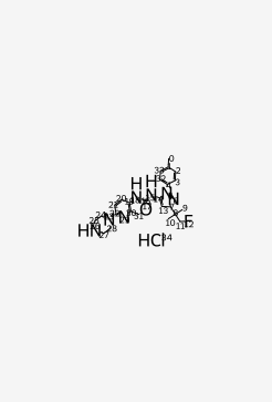 Cc1ccc(-n2nc(C(C)(C)CF)cc2NC(=O)Nc2ccc(N3CCNCC3)nc2C)cc1.Cl